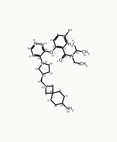 CCN(C(=O)c1cc(F)ccc1Oc1nncnc1N1CC[C@@H](CN2CC3(CCC(N)CC3)C2)C1)C(C)C